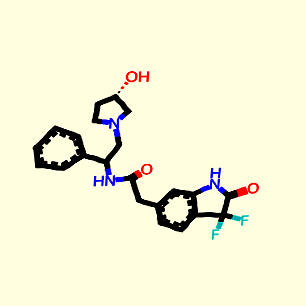 O=C(Cc1ccc2c(c1)NC(=O)C2(F)F)NC(CN1CC[C@H](O)C1)c1ccccc1